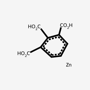 O=C(O)c1cccc(C(=O)O)c1C(=O)O.[Zn]